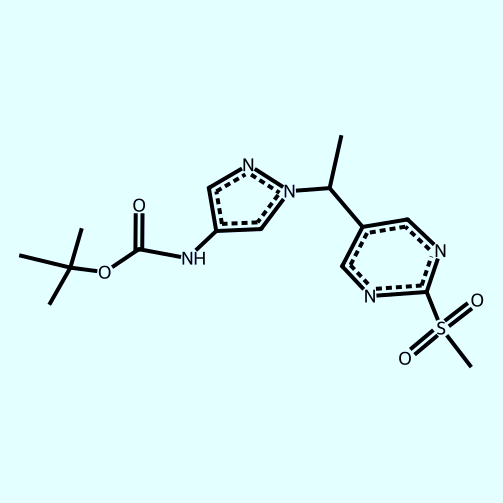 CC(c1cnc(S(C)(=O)=O)nc1)n1cc(NC(=O)OC(C)(C)C)cn1